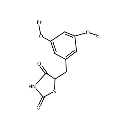 CCOc1cc(CC2SC(=O)NC2=O)cc(OCC)c1